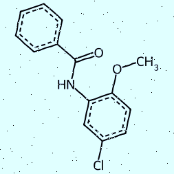 COc1ccc(Cl)cc1NC(=O)c1ccccc1